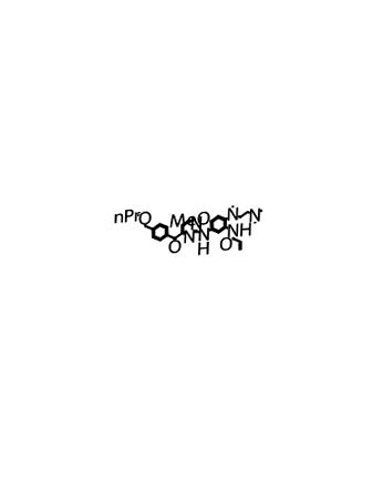 C=CC(=O)Nc1cc(Nc2nccc(C(=O)c3ccc(COCCC)cc3)n2)c(OC)cc1N(C)CCN(C)C